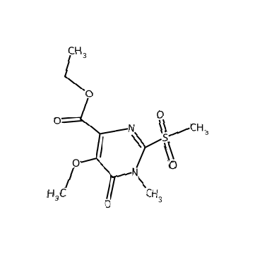 CCOC(=O)c1nc(S(C)(=O)=O)n(C)c(=O)c1OC